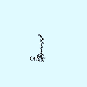 C#CCCCCCCCCCC(=O)C(C)(C)[C]=O